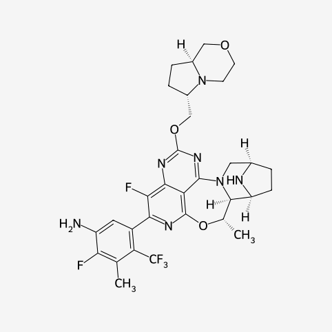 Cc1c(F)c(N)cc(-c2nc3c4c(nc(OC[C@@H]5CC[C@H]6COCCN65)nc4c2F)N2C[C@H]4CC[C@H](N4)[C@H]2[C@H](C)O3)c1C(F)(F)F